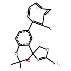 CC1(C)Oc2ccc(C3=C(Cl)/C=C/C=C/C=C\3)cc2C2(COC(N)=N2)C12COC2